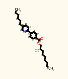 CCCCCCC[C@H](Cl)COC(=O)c1ccc(-c2ccc(CCCCCC)cn2)cc1